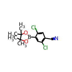 CC1(C)OB(c2cc(Cl)c(C#N)cc2Cl)OC1(C)C